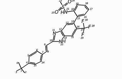 CC(C)(C)c1ccc(/C=C/c2nc3cc(-c4ccccc4NS(C)(=O)=O)c(C(F)(F)F)cc3[nH]2)cc1